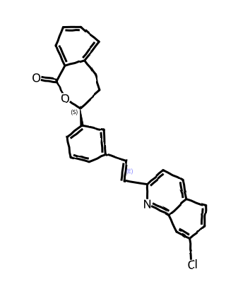 O=C1O[C@H](c2cccc(/C=C/c3ccc4ccc(Cl)cc4n3)c2)CCc2ccccc21